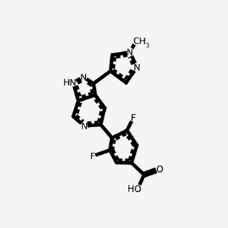 Cn1cc(-c2n[nH]c3cnc(-c4c(F)cc(C(=O)O)cc4F)cc23)cn1